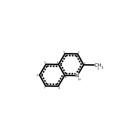 Cc1ccc2ccc[c]c2n1